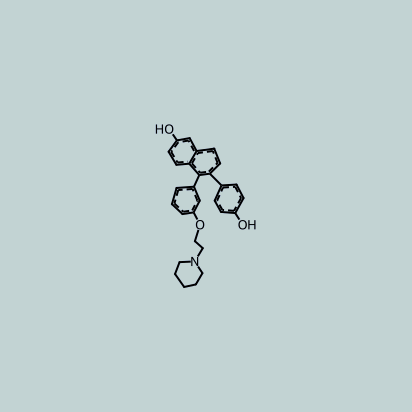 Oc1ccc(-c2ccc3cc(O)ccc3c2-c2cccc(OCCN3CCCCC3)c2)cc1